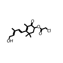 CC(C=CC1=C(C)C(=O)C(OC(=O)CCl)CC1(C)C)=CCO